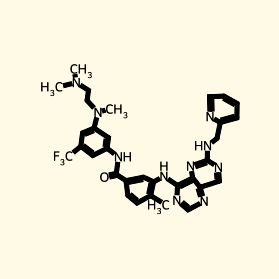 Cc1ccc(C(=O)Nc2cc(N(C)CCN(C)C)cc(C(F)(F)F)c2)cc1Nc1ncnc2cnc(NCc3ccccn3)nc12